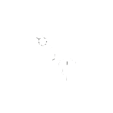 CC(C)NCCN(CC(=O)NC(C)C)C(=O)CCNc1ccc(=O)[nH]n1